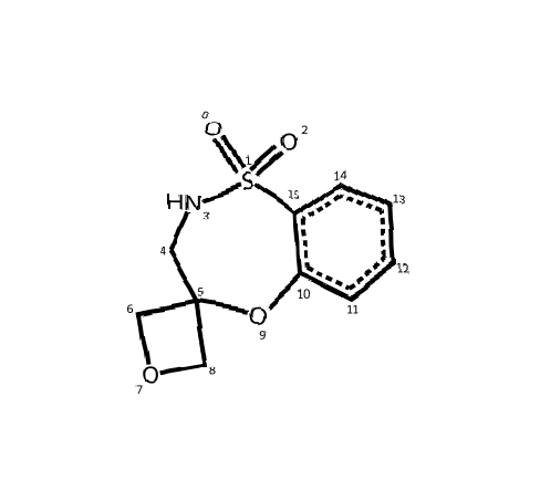 O=S1(=O)NCC2(COC2)Oc2ccccc21